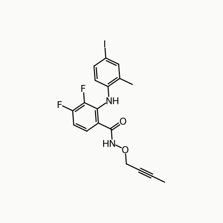 CC#CCONC(=O)c1ccc(F)c(F)c1Nc1ccc(I)cc1C